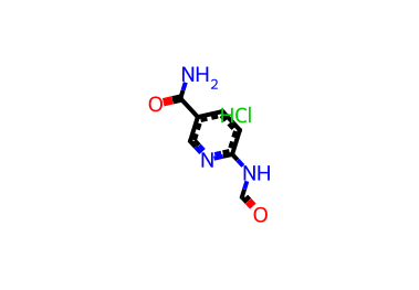 Cl.NC(=O)c1ccc(NC=O)nc1